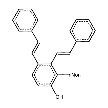 CCCCCCCCCc1c(O)ccc(C=Cc2ccccc2)c1C=Cc1ccccc1